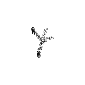 CCCCC/C=C/CC1C(CCCCCC)C=CC(CCCCCCCCN=C=O)C1CCCCCCCCN=C=O